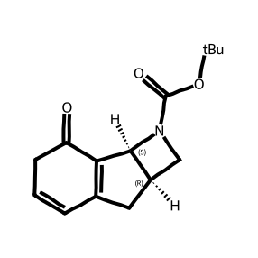 CC(C)(C)OC(=O)N1C[C@H]2CC3=C(C(=O)CC=C3)[C@H]21